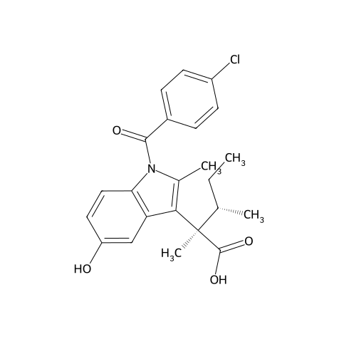 CC[C@H](C)[C@@](C)(C(=O)O)c1c(C)n(C(=O)c2ccc(Cl)cc2)c2ccc(O)cc12